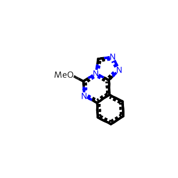 COc1nc2ccccc2c2nncn12